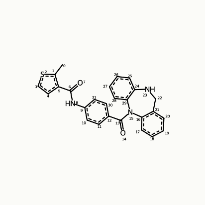 Cc1sccc1C(=O)Nc1ccc(C(=O)N2c3ccccc3CNc3ccccc32)cc1